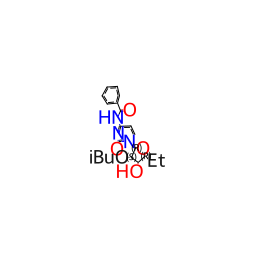 CC[C@H]1O[C@@H](n2ccc(NC(=O)c3ccccc3)nc2=O)[C@@H](OCC(C)C)C1O